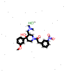 COc1cccc(C2(O)CCN(C(=O)Cc3cccc([N+](=O)[O-])c3)CC2CN(C)C)c1.Cl